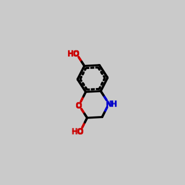 Oc1ccc2c(c1)OC(O)CN2